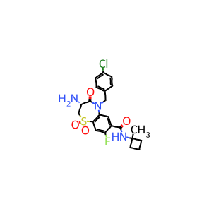 CC1(NC(=O)c2cc3c(cc2F)S(=O)(=O)C[C@H](N)C(=O)N3Cc2ccc(Cl)cc2)CCC1